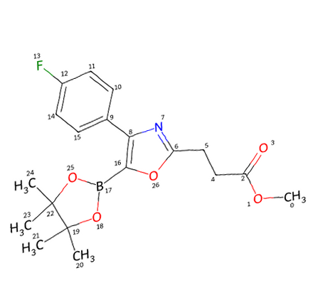 COC(=O)CCc1nc(-c2ccc(F)cc2)c(B2OC(C)(C)C(C)(C)O2)o1